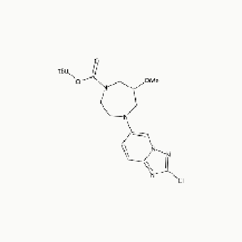 COC1CN(C(=O)OC(C)(C)C)CCN(c2ccc3nc(Cl)nn3c2)C1